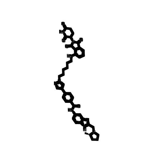 C[C@H]1CCCN1Cc1nc2cc(NC(=O)c3ccc(-c4cnn(CCCCCCNc5cccc6c5C(=O)N(C5CCC(=O)NC5=O)C6=O)c4)cc3)ccc2[nH]1